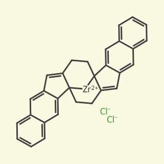 C1=C2CC[C]34[Zr+2][C]2(CCC3=Cc2cc3ccccc3cc24)c2cc3ccccc3cc21.[Cl-].[Cl-]